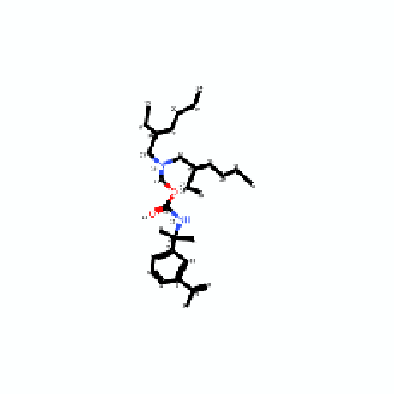 C=C(C)c1cccc(C(C)(C)NC(=O)OCN(CC(CC)CCCC)CC(CC)CCCC)c1